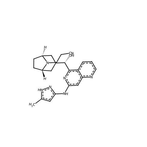 Cc1cc(Nc2cc3ncccc3c([C@@H](O)C3C[C@@H]4CC[C@@H](C3)N4CCC#N)n2)n[nH]1